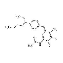 CCCCN(CC)c1ccc(N=C2C=C(NC(C)=O)C(=O)C(Cl)=C2C)cc1